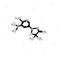 C=C1OB(c2cnc(C)c(N(C)C)c2)OC1(C)C